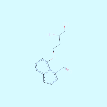 O=Cc1cccc2cccc(OCCC(O)CO)c12